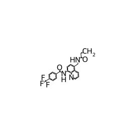 C=CC(=O)NCc1ccc(NC(=O)c2ccc(C(F)(F)F)cc2)c2ncccc12